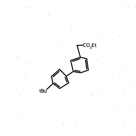 CCOC(=O)Cc1cccc(-c2ccc(C(C)(C)C)cc2)c1